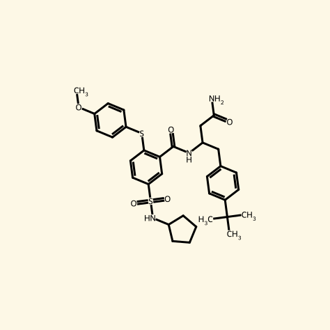 COc1ccc(Sc2ccc(S(=O)(=O)NC3CCCC3)cc2C(=O)NC(CC(N)=O)Cc2ccc(C(C)(C)C)cc2)cc1